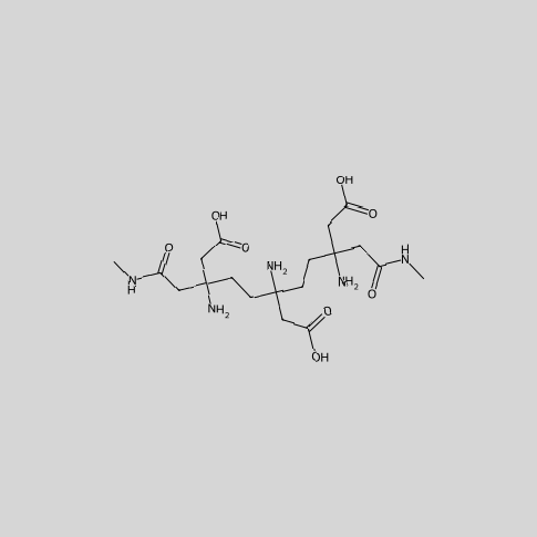 CNC(=O)CC(N)(CCC(N)(CCC(N)(CC(=O)O)CC(=O)NC)CC(=O)O)CC(=O)O